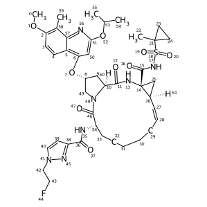 COc1ccc2c(O[C@@H]3C[C@H]4C(=O)N[C@]5(C(=O)NS(=O)(=O)C6(C)CC6)C[C@H]5C=CCCCCC[C@H](NC(=O)c5ccn(CCF)n5)C(=O)N4C3)cc(OC(C)C)nc2c1C